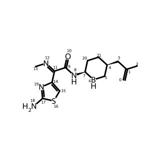 C=C(C)C[C@H]1CB[C@@H](NC(=O)/C(=N/C)c2csc(N)n2)CC1